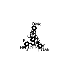 COc1ccc(CN(c2nn(C)c3c(-n4c(C(Cc5cc(F)cc(F)c5)NC(=O)O)nc5c(F)c(OC)c(F)cc5c4=O)ccc(Cl)c23)S(C)(=O)=O)cc1